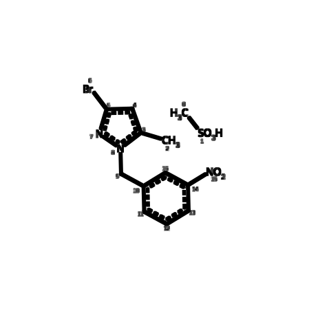 CS(=O)(=O)O.Cc1cc(Br)nn1Cc1cccc([N+](=O)[O-])c1